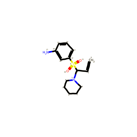 C=CC(N1CCCCC1)S(=O)(=O)c1cccc(N)c1